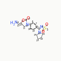 CS(=O)(=O)N=C(c1ccc(N2CC(CN)OC2=O)cc1)N1CCCC1